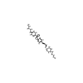 CCCCC[C@H]1CC[C@H](C=CC#Cc2ccc(OC(=O)[C@H]3CC[C@H](CCCCC)CC3)cc2)CC1